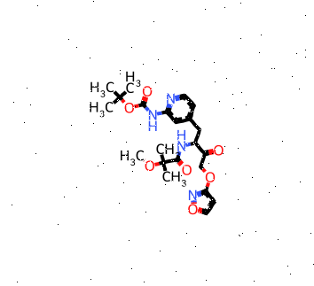 COC(C)(C)C(=O)NC(Cc1ccnc(NC(=O)OC(C)(C)C)c1)C(=O)COc1ccon1